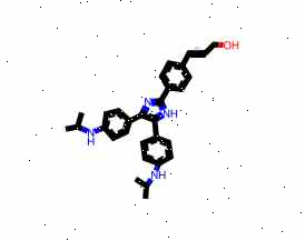 CC(C)Nc1ccc(-c2nc(-c3ccc(/C=C/CO)cc3)[nH]c2-c2ccc(NC(C)C)cc2)cc1